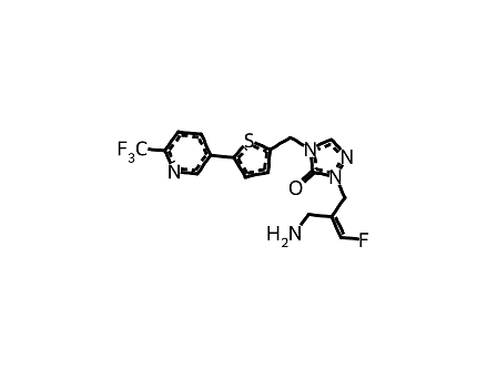 NC/C(=C/F)Cn1ncn(Cc2ccc(-c3ccc(C(F)(F)F)nc3)s2)c1=O